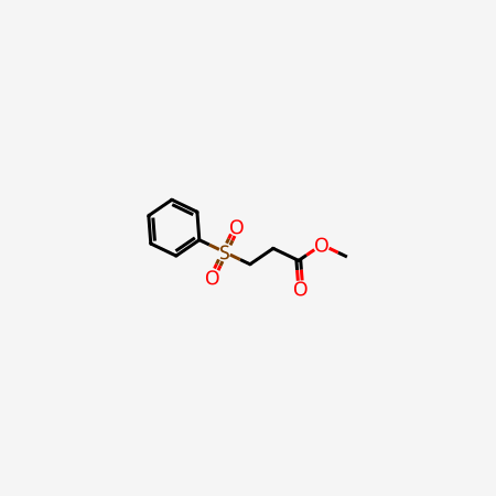 COC(=O)CCS(=O)(=O)c1ccccc1